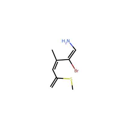 C=C(/C=C(C)\C(Br)=C/N)SC